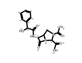 CC(=O)N1CC2[C@@H](NC(=O)C(O)c3ccccc3)C(=O)N2C1C(=O)O